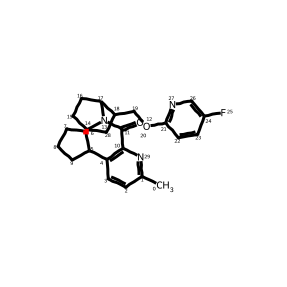 Cc1ccc(C2CCCC2)c(C(=O)N2C3CCC2C(COc2ccc(F)cn2)C3)n1